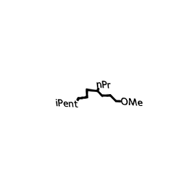 CCCC(C)CCCC(CCC)CCCOC